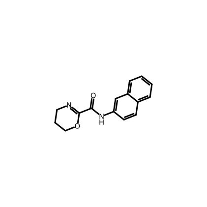 O=C(Nc1ccc2ccccc2c1)C1=NCCCO1